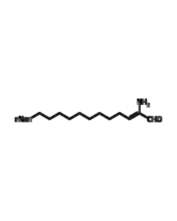 CCCCCCCCCCCCCCCCCCC=C(N)C=O